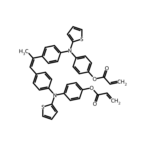 C=CC(=O)Oc1ccc(N(c2ccc(C=C(C)c3ccc(N(c4ccc(OC(=O)C=C)cc4)c4cccs4)cc3)cc2)c2cccs2)cc1